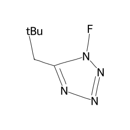 CC(C)(C)Cc1nnnn1F